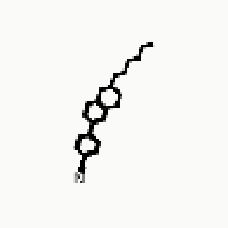 CCCCCCC1CCc2cc(-c3ccc(C#N)cc3)ccc2C1